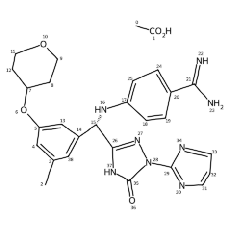 CC(=O)O.Cc1cc(OC2CCOCC2)cc([C@H](Nc2ccc(C(=N)N)cc2)c2nn(-c3ncccn3)c(=O)[nH]2)c1